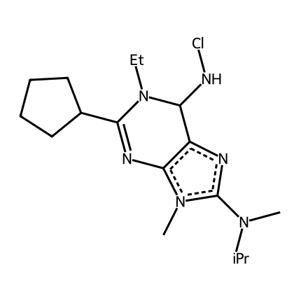 CCN1C(C2CCCC2)=Nc2c(nc(N(C)C(C)C)n2C)C1NCl